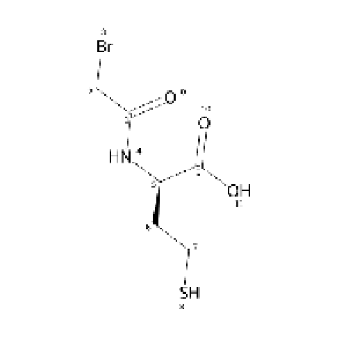 O=C(CBr)N[C@H](CCS)C(=O)O